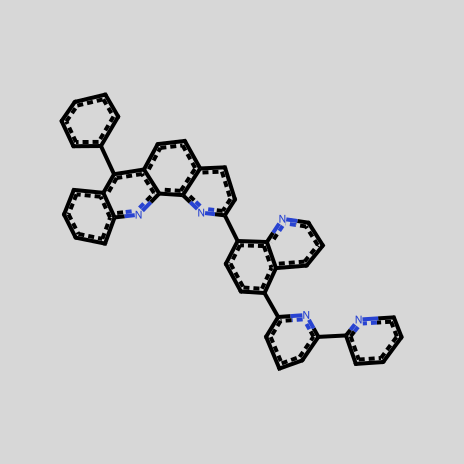 c1ccc(-c2c3ccccc3nc3c2ccc2ccc(-c4ccc(-c5cccc(-c6ccccn6)n5)c5cccnc45)nc23)cc1